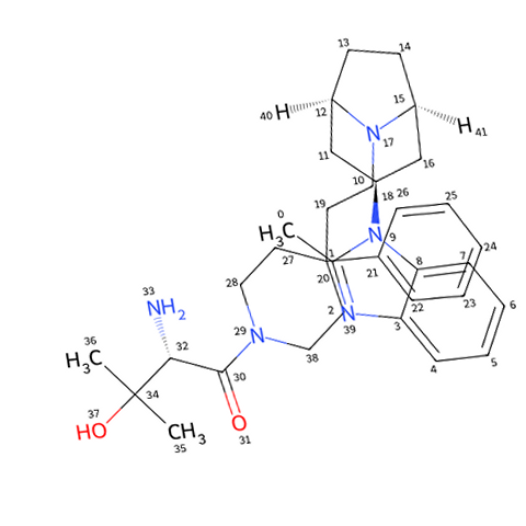 Cc1nc2ccccc2n1[C@H]1C[C@H]2CC[C@@H](C1)N2CCC1(c2ccccc2)CCN(C(=O)[C@@H](N)C(C)(C)O)CC1